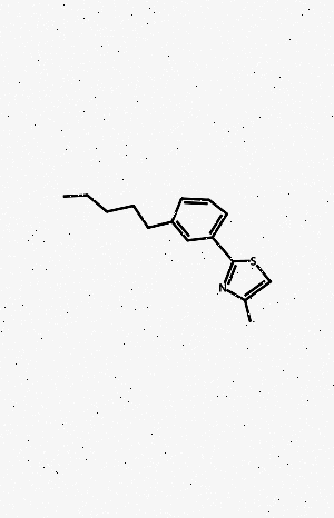 [CH2]c1csc(-c2cccc(CCCCC)c2)n1